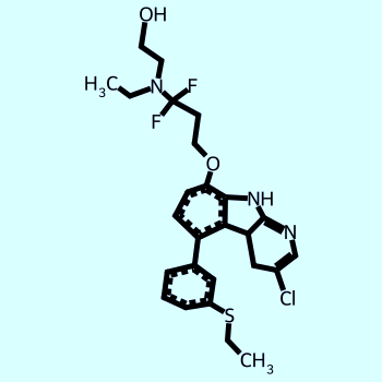 CCSc1cccc(-c2ccc(OCCC(F)(F)N(CC)CCO)c3c2C2CC(Cl)=CN=C2N3)c1